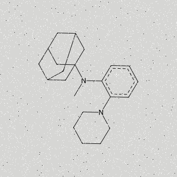 CN(c1ccccc1N1CCCCC1)C12CC3CC(CC(C3)C1)C2